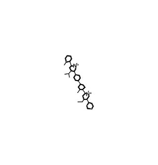 CCc1cc(-c2ccc(-c3ccc(-c4c[n+](C)c(-c5ccccc5C)cc4C(C)C)cc3)cc2C)[n+](C)cc1-c1ccccc1